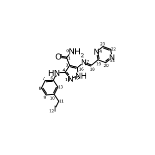 NC(=O)c1c(Nc2cccc(CI)c2)n[nH]c1/N=C/c1cnccn1